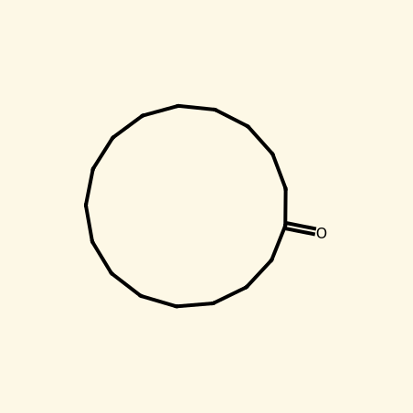 O=C1CCCCCCCCCCCCCCCC1